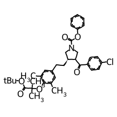 Cc1cc(CC[C@H]2CN(C(=O)Oc3ccccc3)CC2C(=O)c2ccc(Cl)cc2)cc(C)c1OC(C)(C)C(=O)OC(C)(C)C